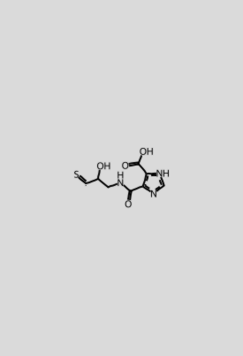 O=C(NCC(O)[C]=S)c1nc[nH]c1C(=O)O